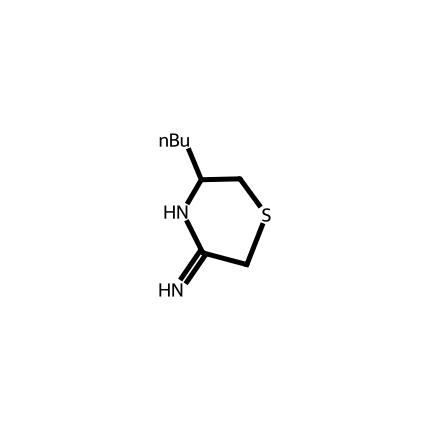 CCCCC1CSCC(=N)N1